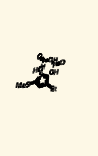 CCc1csc(SC)c1.O=[PH](O)O[PH](=O)O